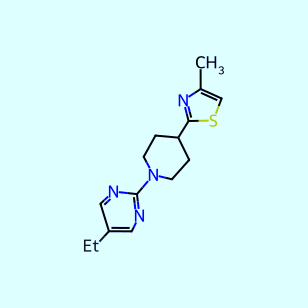 CCc1cnc(N2CCC(c3nc(C)cs3)CC2)nc1